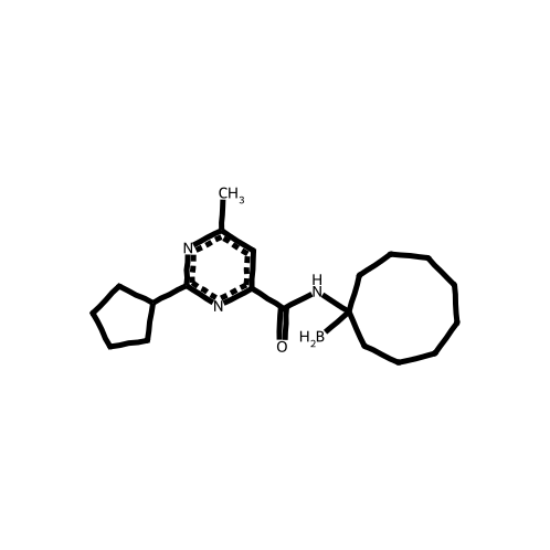 BC1(NC(=O)c2cc(C)nc(C3CCCC3)n2)CCCCCCCC1